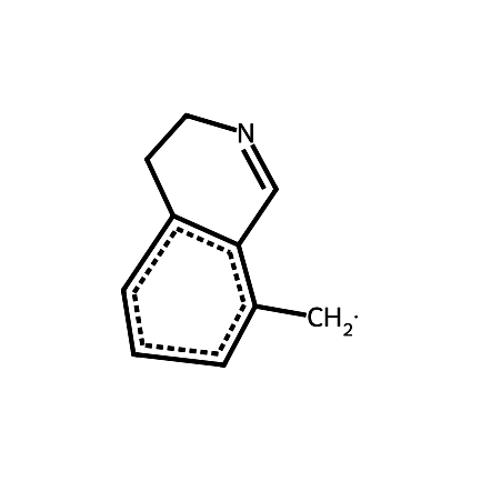 [CH2]c1cccc2c1C=NCC2